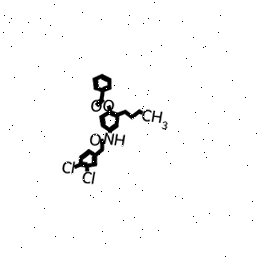 CCCCc1cc(NC(=O)Cc2ccc(Cl)c(Cl)c2)ccc1OC(=O)c1ccccc1